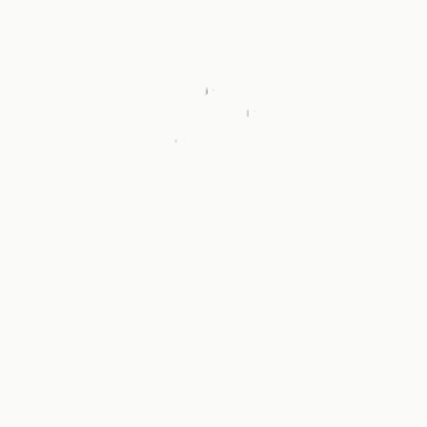 CC(C)S(C(C)C)(C(C)C)C1COCC(c2cccc(CO)c2)O1